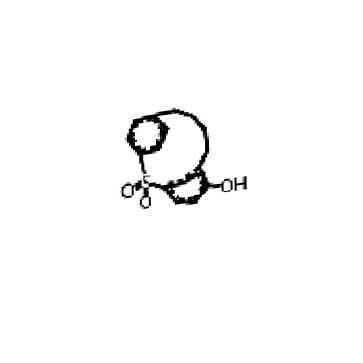 O=S1(=O)c2ccc(cc2)CCCCc2cc1ccc2O